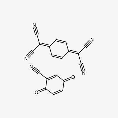 N#CC(C#N)=c1ccc(=C(C#N)C#N)cc1.N#CC1=CC(=O)C=CC1=O